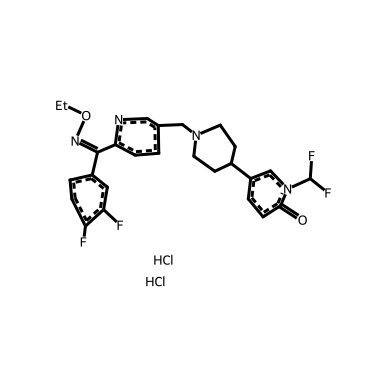 CCON=C(c1ccc(F)c(F)c1)c1ccc(CN2CCC(c3ccc(=O)n(C(F)F)c3)CC2)cn1.Cl.Cl